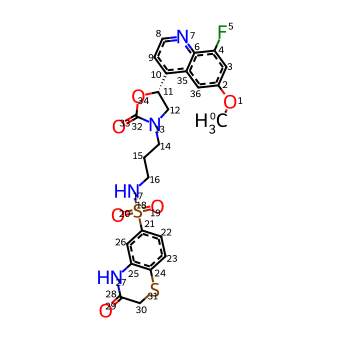 COc1cc(F)c2nccc([C@@H]3CN(CCCNS(=O)(=O)c4ccc5c(c4)NC(=O)CS5)C(=O)O3)c2c1